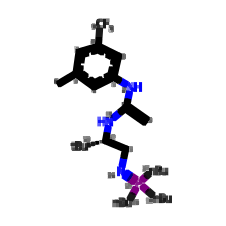 C=C(Nc1cc(C)cc(C(F)(F)F)c1)N[C@H](CN=P(CCCC)(CCCC)CCCC)C(C)(C)C